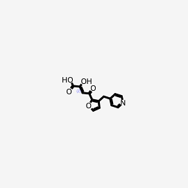 O=C(O)/C(O)=C/C(=O)c1occc1Cc1ccncc1